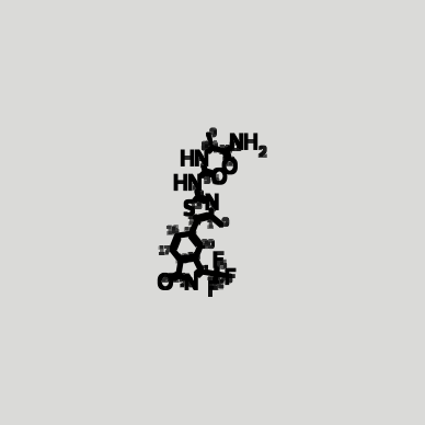 Cc1nc(NC(=O)N[C@@H](C)C(N)=O)sc1-c1ccc2c(c1)C(C(F)(F)F)=NC2=O